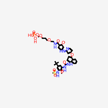 COc1cc(Nc2cc(Oc3ccc(NC(=O)Nc4cc(C(C)(C)C)cc(NS(C)(=O)=O)c4OC)c4ccccc34)ccn2)ccc1C(=O)NCCOCCCOCOP(=O)(O)O